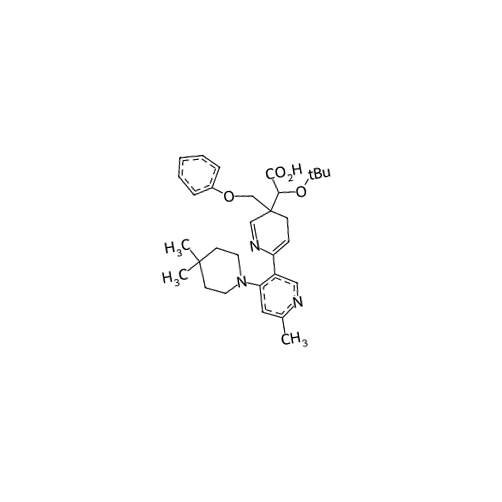 Cc1cc(N2CCC(C)(C)CC2)c(C2=CCC(COc3ccccc3)(C(OC(C)(C)C)C(=O)O)C=N2)cn1